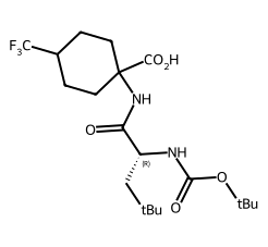 CC(C)(C)C[C@@H](NC(=O)OC(C)(C)C)C(=O)NC1(C(=O)O)CCC(C(F)(F)F)CC1